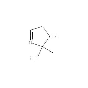 CC1(N)CCC=N1.Cl